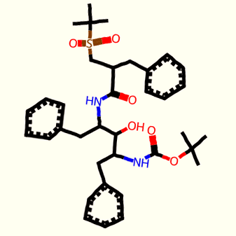 CC(C)(C)OC(=O)NC(Cc1ccccc1)C(O)C(Cc1ccccc1)NC(=O)C(Cc1ccccc1)CS(=O)(=O)C(C)(C)C